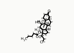 CCCCC(=O)O[C@]1(C(=O)CCl)CC[C@H]2[C@@H]3CCC4=CC(=O)CC[C@]4(C)[C@@]3(F)C(O)C[C@@]21C